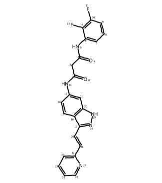 O=C(CC(=O)Nc1cccc(F)c1F)Nc1ccc2c(C=Cc3ccccn3)n[nH]c2c1